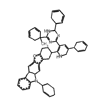 CC1(C2=NC(C3=C(C4CCc5oc6c(c5C4)=CC4C(C=6)c5ccccc5N4C4C=CCCC4)NCC(C4C=CC=CC4)=C3)=NC(C3C=CC=CC3)N2)C=CC=CC1